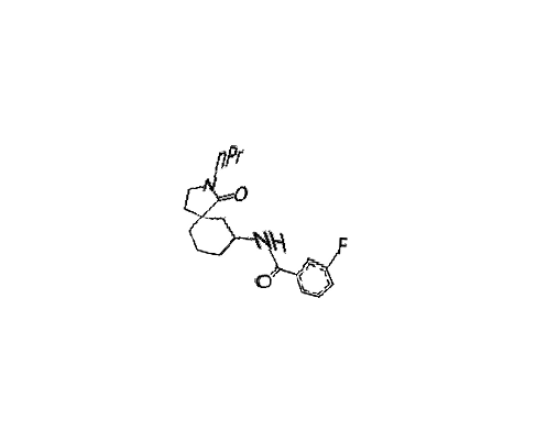 CCCN1CCC2(CCCC(NC(=O)c3cccc(F)c3)C2)C1=O